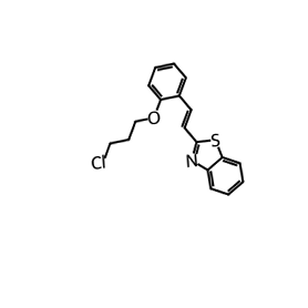 ClCCCOc1ccccc1C=Cc1nc2ccccc2s1